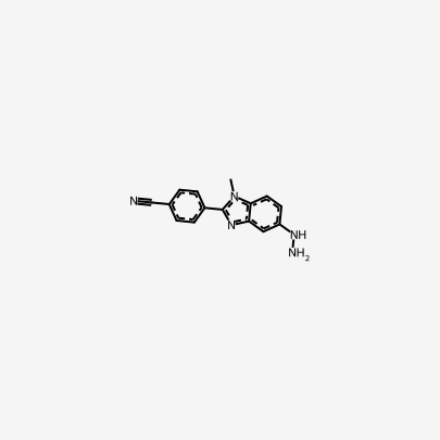 Cn1c(-c2ccc(C#N)cc2)nc2cc(NN)ccc21